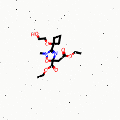 CCOC(=O)CC1(C(=O)OCC)N=C(C2(OCCO)CCC2)N(C)O1